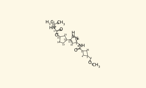 COCC1CC(C(=O)Nc2cc([C@H]3CC[C@@H](OC(=O)NC(C)C)C3)[nH]n2)C1